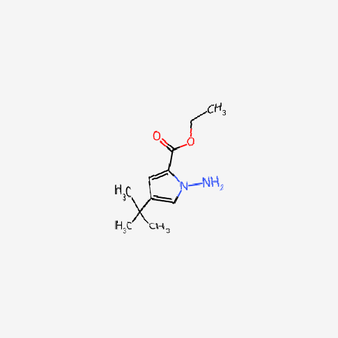 CCOC(=O)c1cc(C(C)(C)C)cn1N